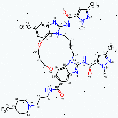 CCn1nc(C)cc1C(=O)Nc1nc2cc(C=O)cc3c2n1C/C=C/Cn1c(NC(=O)c2cc(C)nn2CC)nc2cc(C(=O)NCCCN4CCC(C(F)(F)F)CC4)cc(c21)OCCCO3